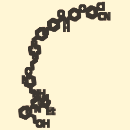 CCc1cnn2c(NCc3ccc(OCCCN4CCN(CC5CCN(c6ccc(C(=O)N[C@H]7CC[C@H](Oc8ccc(C#N)c(Cl)c8)CC7)cc6)CC5)CC4)nc3)cc(N3CCCC[C@@H]3CCO)nc12